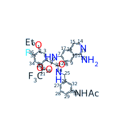 CCOc1cc(C(Nc2ccc3c(N)nccc3c2)(OC(=O)C(F)(F)F)C(=O)NCc2cccc(NC(C)=O)c2)ccc1F